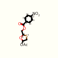 CC(=O)OC1CSC(COC(=O)c2ccc([N+](=O)[O-])cc2)O1